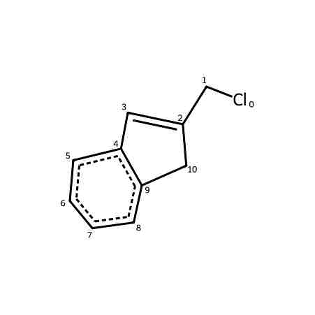 ClCC1=Cc2ccccc2C1